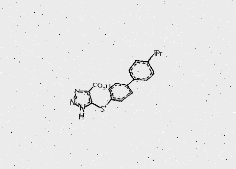 CC(C)c1ccc(-c2ccc(Sc3[nH]nnc3C(=O)O)cc2)cc1